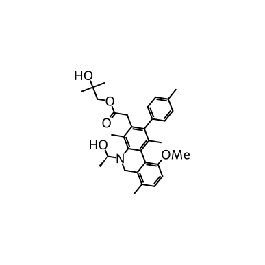 COc1ccc(C)c2c1-c1c(C)c(-c3ccc(C)cc3)c(CC(=O)OCC(C)(C)O)c(C)c1N([C@@H](C)O)C2